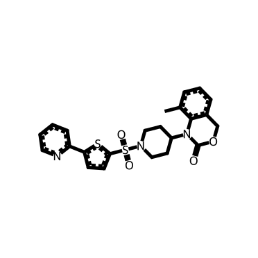 Cc1cccc2c1N(C1CCN(S(=O)(=O)c3ccc(-c4ccccn4)s3)CC1)C(=O)OC2